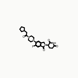 O=C1CCC(N2Cc3cc(N4CCN(C(=O)CC5CCCC5)CC4)c(F)cc3C2=O)C(=O)N1